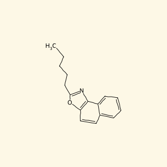 CCCCCc1nc2c(ccc3ccccc32)o1